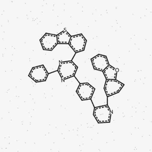 c1ccc(-c2nc(-c3ccc(-c4cccnc4-c4ccc5oc6ccccc6c5c4)cc3)cc(-c3cccc4sc5ccccc5c34)n2)cc1